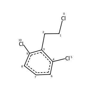 ClCCc1c(Cl)cccc1Cl